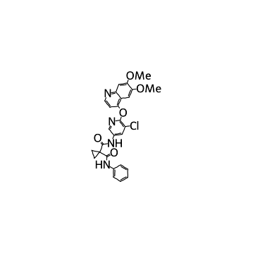 COc1cc2nccc(Oc3ncc(NC(=O)C4(C(=O)Nc5ccccc5)CC4)cc3Cl)c2cc1OC